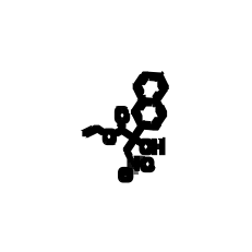 CCOC(=O)C(O)(C[N+](=O)[O-])c1ccc2ccccc2c1